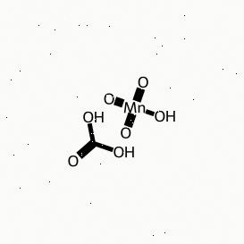 O=C(O)O.[O]=[Mn](=[O])(=[O])[OH]